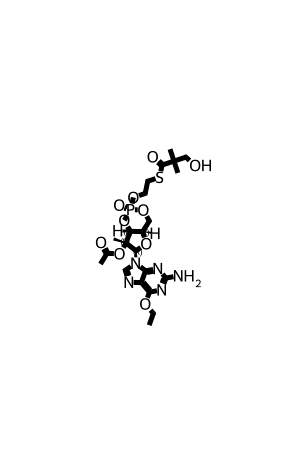 CCOc1nc(N)nc2c1ncn2[C@@H]1O[C@@H]2COP(=O)(OCCSC(=O)C(C)(C)CO)O[C@H]2[C@@]1(C)OC(C)=O